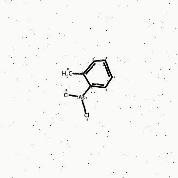 Cc1ccccc1[As](Cl)Cl